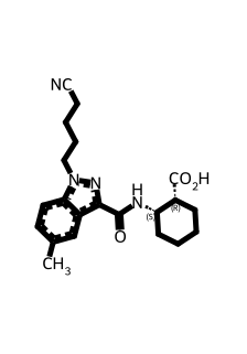 Cc1ccc2c(c1)c(C(=O)N[C@H]1CCCC[C@H]1C(=O)O)nn2CCCCC#N